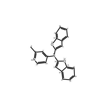 Cc1cc(N(c2cc3ccccc3o2)c2cc3ccccc3o2)ccn1